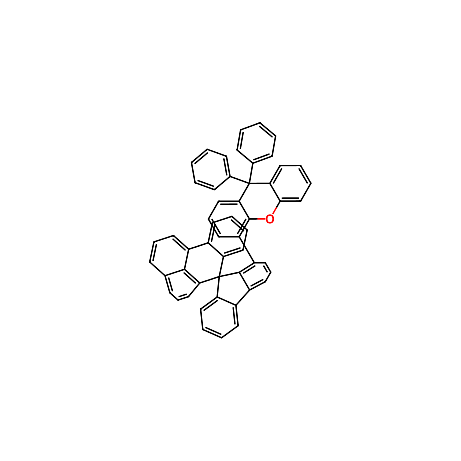 c1ccc(C2(c3ccccc3)c3ccccc3Oc3c(-c4cccc5c4C4(c6ccccc6-5)c5ccccc5-c5cccc6cccc4c56)cccc32)cc1